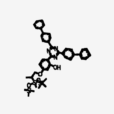 CC(COc1ccc(-c2nc(-c3ccc(-c4ccccc4)cc3)nc(-c3ccc(-c4ccccc4)cc3)n2)c(O)c1)[Si](C)(O[Si](C)(C)C)O[Si](C)(C)C